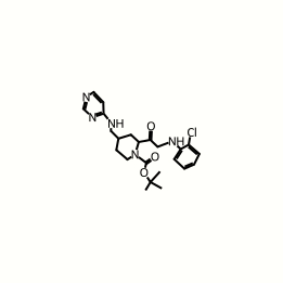 CC(C)(C)OC(=O)N1CCC(CNc2ccncn2)CC1C(=O)CNc1ccccc1Cl